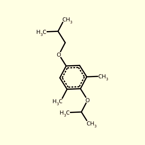 Cc1cc(OCC(C)C)cc(C)c1OC(C)C